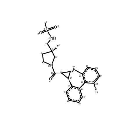 CS(=O)(=O)NC[C@@]1(F)CCN(C(=O)[C@@H]2C[C@H]2c2ccccc2-c2c(F)cccc2F)C1